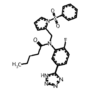 CCCCC(=O)N(Cc1cccn1S(=O)(=O)c1ccccc1)c1cc(-c2nnn[nH]2)ccc1F